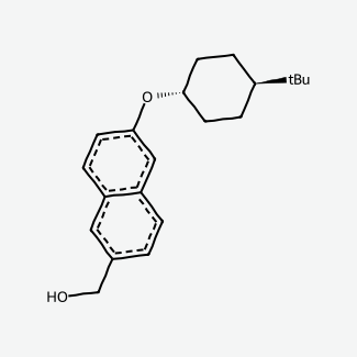 CC(C)(C)[C@H]1CC[C@H](Oc2ccc3cc(CO)ccc3c2)CC1